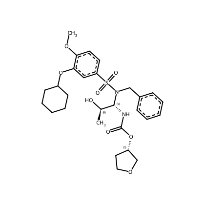 COc1ccc(S(=O)(=O)N(Cc2ccccc2)[C@H](NC(=O)O[C@H]2CCOC2)[C@@H](C)O)cc1OC1CCCCC1